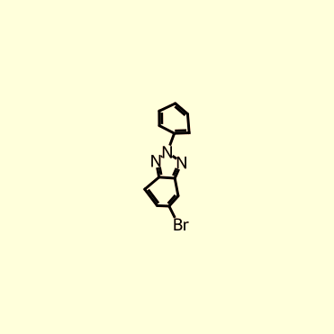 Brc1ccc2nn(-c3ccccc3)nc2c1